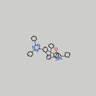 c1ccc(-c2ccc(-c3cccc4c3C3(c5ccccc5Oc5ccccc53)c3ccc(-c5nc(-c6ccccc6)nc(-c6ccccc6)n5)cc3-4)nn2)cc1